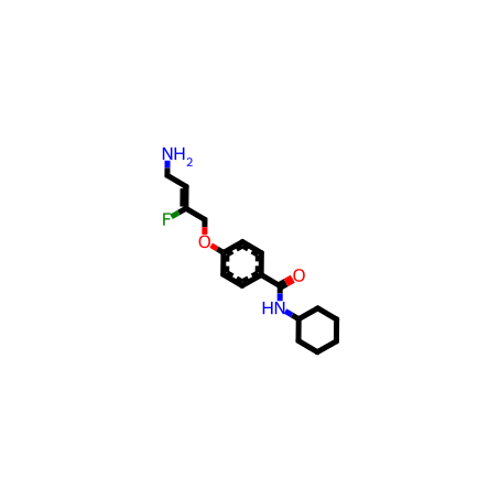 NCC=C(F)COc1ccc(C(=O)NC2CCCCC2)cc1